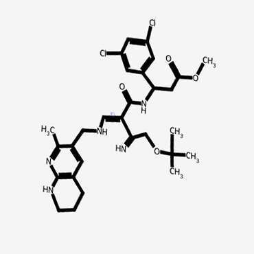 COC(=O)CC(NC(=O)/C(=C/NCc1cc2c(nc1C)NCCC2)C(=N)COC(C)(C)C)c1cc(Cl)cc(Cl)c1